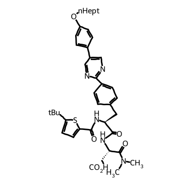 CCCCCCCOc1ccc(-c2cnc(-c3ccc(C[C@H](NC(=O)c4ccc(C(C)(C)C)s4)C(=O)N[C@@H](CC(=O)O)C(=O)N(C)C)cc3)nc2)cc1